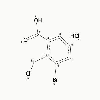 Cl.O=C(O)c1cccc(Br)c1CCl